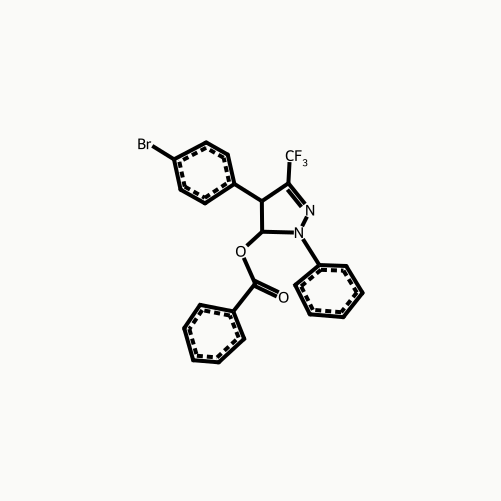 O=C(OC1C(c2ccc(Br)cc2)C(C(F)(F)F)=NN1c1ccccc1)c1ccccc1